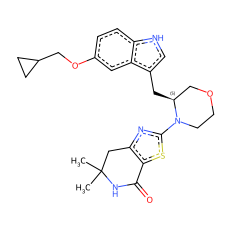 CC1(C)Cc2nc(N3CCOC[C@@H]3Cc3c[nH]c4ccc(OCC5CC5)cc34)sc2C(=O)N1